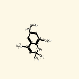 CCC(C)Nc1cc(SC)c2c(c1)C(C)=CC(C)(C)N2